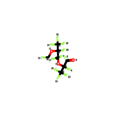 O=C(F)C(F)(OC(F)(F)C(F)(OCF)C(F)(F)F)C(F)(F)F